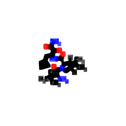 CC(C)(C)[C@H](N)C(=O)N1C[C@H]2[C@@H]([C@H]1C(=O)NC(CC1CCC1)C(=O)C(N)=O)C2(C)C